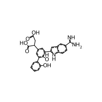 N=C(N)c1ccc2[nH]c(-c3cc(C(CC(=O)O)C(=O)O)cc(-c4ccccc4O)c3O)cc2c1